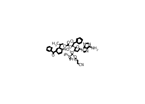 CC(COC(=O)OC(C(=O)c1ccccc1)[C@H]1O[C@@H](n2cnc3c(N)ncnc32)C[C@@H]1OP(OOCCC#N)N(C(C)C)C(C)C)c1cc(C(=O)c2ccccc2)ccc1[N+](=O)[O-]